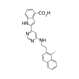 Cc1c(CCNc2cc(-c3cc4c(C(=O)O)cccc4[nH]3)ncn2)ccc2ccccc12